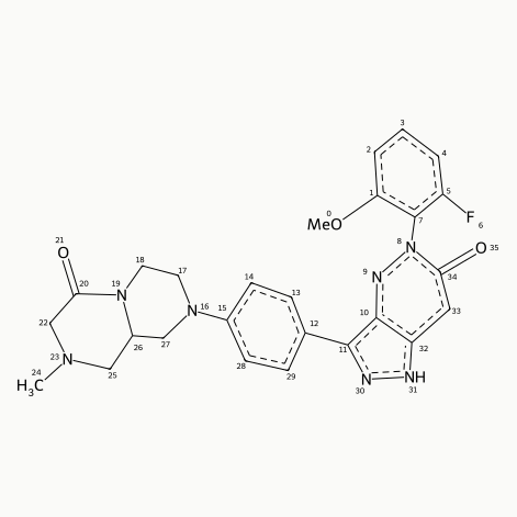 COc1cccc(F)c1-n1nc2c(-c3ccc(N4CCN5C(=O)CN(C)CC5C4)cc3)n[nH]c2cc1=O